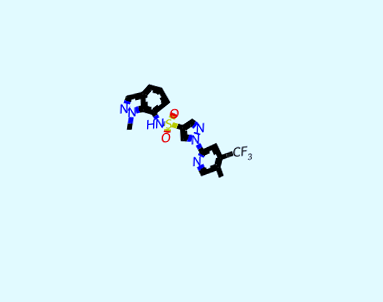 Cc1cnc(-n2cc(S(=O)(=O)Nc3cccc4cnn(C)c34)cn2)cc1C(F)(F)F